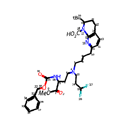 COC(=O)C(CCN(CCCCc1ccc2c(n1)N(C(=O)O)C(C(C)(C)C)CC2)CCC(F)F)NC(=O)OCc1ccccc1